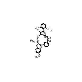 Cc1cccc(C)c1-c1nc2nc(c1F)OC[C@@H](CC(C)C)N(Cc1ncc(OC(C)C)cn1)C(=O)c1cccc(c1)S(=O)(=O)N2